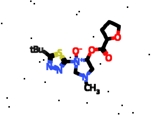 CN1CC(OC(=O)C2CCCO2)[N+]([O-])(c2nnc(C(C)(C)C)s2)C1